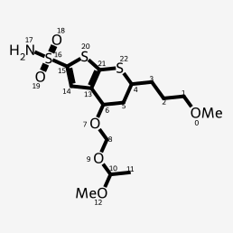 COCCCC1CC(OCOC(C)OC)c2cc(S(N)(=O)=O)sc2S1